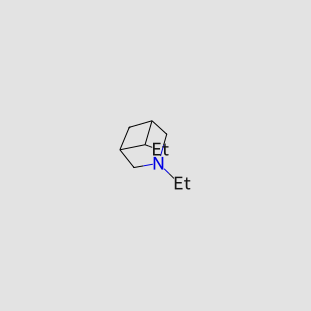 CCC1C2CC1CN(CC)C2